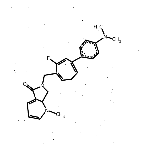 CN(C)c1ccc(C2=CCC=C(CN3CC4C(=CC=CN4C)C3=O)C(F)=C2)cc1